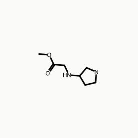 COC(=O)CNC1CC[N]C1